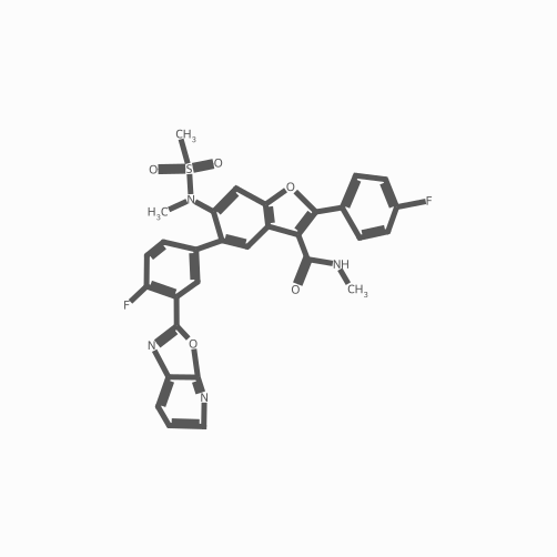 CNC(=O)c1c(-c2ccc(F)cc2)oc2cc(N(C)S(C)(=O)=O)c(-c3ccc(F)c(-c4nc5cccnc5o4)c3)cc12